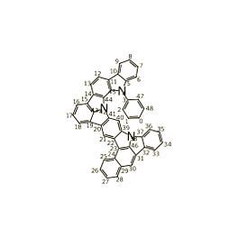 c1ccc(-n2c3ccccc3c3ccc4c5cccc6c7cc8c9c%10ccccc%10cc%10c%11ccccc%11n(c8cc7n(c65)c4c32)c%109)cc1